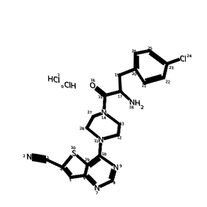 Cl.Cl.N#Cc1cc2ncnc(N3CCN(C(=O)C(N)Cc4ccc(Cl)cc4)CC3)c2s1